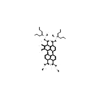 CCCC(CCC)N(C=O)C(=O)C(=O)c1ccc2c3ccc(C(=O)C(=O)NC=O)c4c(C(=O)C(=O)NC=O)ccc(c43)c3c4c(=O)[nH]c(=O)c4c(C(=O)C(=O)N(C=O)C(CCC)CCC)c1c23